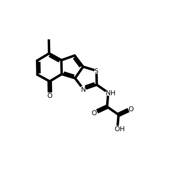 CC1=C2C=c3sc(NC(=O)C(=O)O)nc3=C2C(=O)C=C1